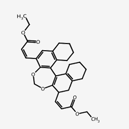 CCOC(=O)/C=C\c1cc2c(c3c1OCOC1=C3C3=C(CCCC3)CC1/C=C\C(=O)OCC)CCCC2